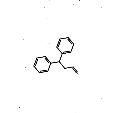 S=[C]CC(c1ccccc1)c1ccccc1